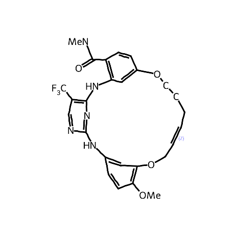 CNC(=O)c1ccc2cc1Nc1nc(ncc1C(F)(F)F)Nc1ccc(OC)c(c1)OC/C=C\CCCO2